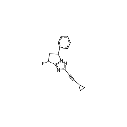 FC1CC(c2ccccc2)n2nc(C#CC3CC3)nc21